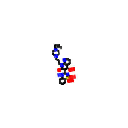 CN1CCN(CCCn2c(=O)c(C3=NS(O)(O)c4ccccc4N3)c(O)c3cccnc32)CC1